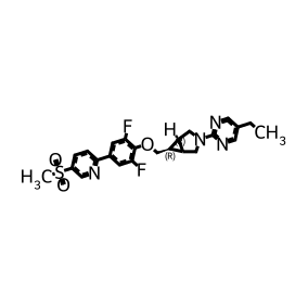 CCc1cnc(N2CC3[C@@H](COc4c(F)cc(-c5ccc(S(C)(=O)=O)cn5)cc4F)[C@@H]3C2)nc1